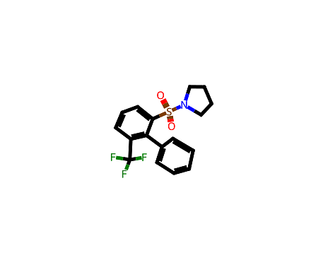 O=S(=O)(c1cccc(C(F)(F)F)c1-c1ccccc1)N1CCCC1